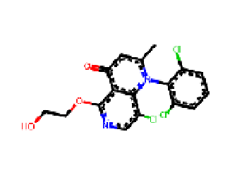 Cc1cc(=O)c2c(OCCO)ncc(Cl)c2n1-c1c(Cl)cccc1Cl